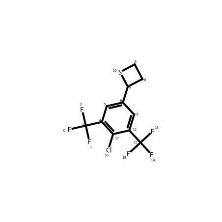 FC(F)(F)c1cc(C2[CH]CS2)cc(C(F)(F)F)c1Cl